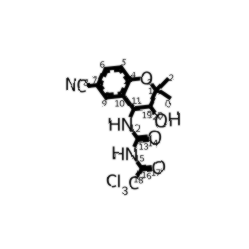 CC1(C)Oc2ccc(C#N)cc2C(NC(=O)NC(=O)C(Cl)(Cl)Cl)C1O